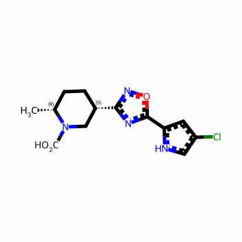 C[C@@H]1CC[C@H](c2noc(-c3cc(Cl)c[nH]3)n2)CN1C(=O)O